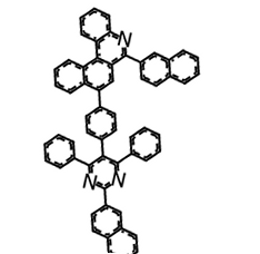 c1ccc(-c2nc(-c3ccc4ccccc4c3)nc(-c3ccccc3)c2-c2ccc(-c3cc4c(-c5ccc6ccccc6c5)nc5ccccc5c4c4ccccc34)cc2)cc1